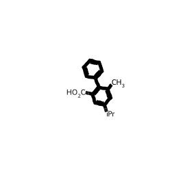 Cc1cc(C(C)C)cc(C(=O)O)c1-c1ccccc1